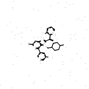 C=C(c1ncccc1F)c1nc2cc(Cl)nc(-c3cncc(Cl)c3)c2n1CC1CCC(C)CC1